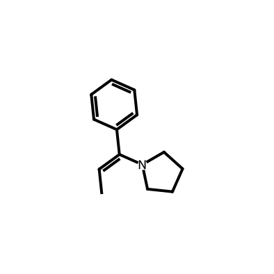 C/C=C(/c1ccccc1)N1CCCC1